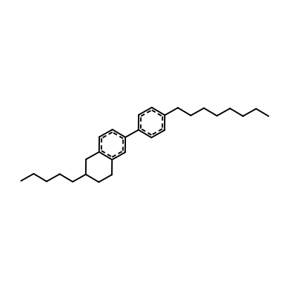 CCCCCCCCc1ccc(-c2ccc3c(c2)CCC(CCCCC)C3)cc1